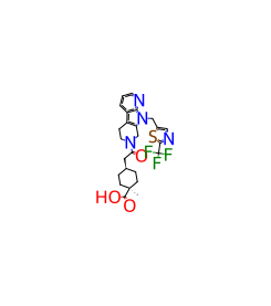 C[C@]1(C(=O)O)CC[C@@H](CC(=O)N2CCc3c(n(Cc4cnc(C(F)(F)F)s4)c4ncccc34)C2)CC1